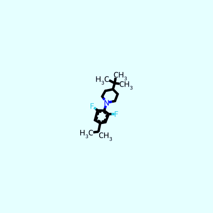 CC(C)c1cc(F)c(N2CCC(C(C)(C)C)CC2)c(F)c1